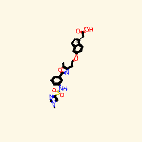 Cc1oc(-c2cccc(NS(=O)(=O)c3cn(C)cn3)c2)nc1CCOc1ccc2c(c1)CC[C@H]2CC(=O)O